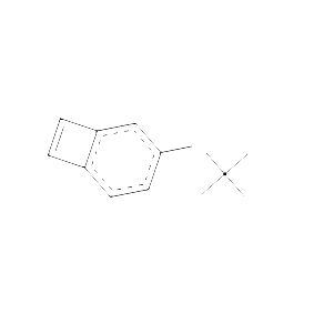 CC(C)(C)[SiH2]c1ccc2c(c1)C=C2